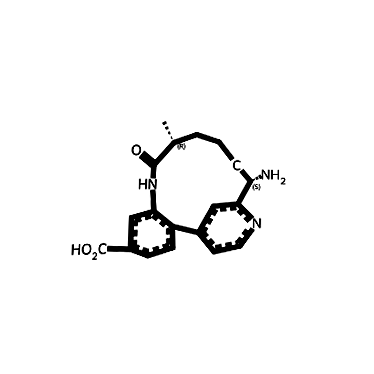 C[C@@H]1CCC[C@H](N)c2cc(ccn2)-c2ccc(C(=O)O)cc2NC1=O